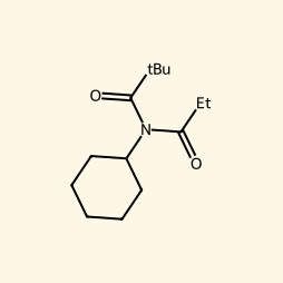 CCC(=O)N(C(=O)C(C)(C)C)C1CCCCC1